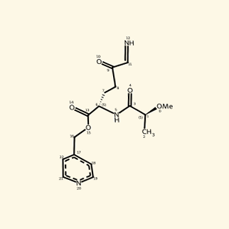 CO[C@@H](C)C(=O)N[C@@H](CCC(=O)C=N)C(=O)OCc1ccncc1